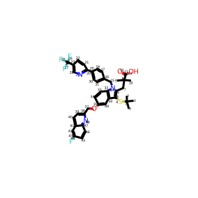 CC(C)(C)Sc1c(CC(C)(C)C(=O)O)n(Cc2ccc(-c3ccc(C(F)(F)F)cn3)cc2)c2ccc(OCc3ccc4cc(F)ccc4n3)cc12